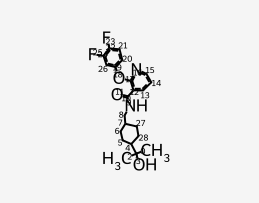 CC(C)(O)C1CCC(CNC(=O)c2cccnc2Oc2ccc(F)c(F)c2)CC1